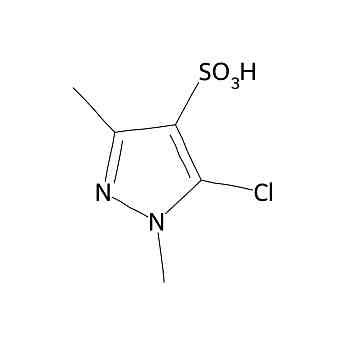 Cc1nn(C)c(Cl)c1S(=O)(=O)O